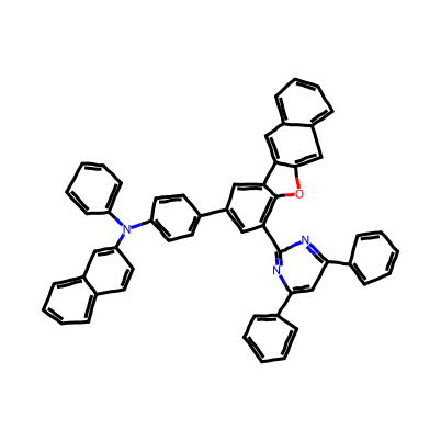 c1ccc(-c2cc(-c3ccccc3)nc(-c3cc(-c4ccc(N(c5ccccc5)c5ccc6ccccc6c5)cc4)cc4c3oc3cc5ccccc5cc34)n2)cc1